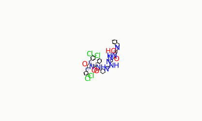 O=C1/C(=C/c2ccc(Cl)c(Cl)c2)CN(C(=O)[C@H](Cc2ccccc2)NC(=O)C2CCCC(N3CC(Nc4cc(C(=O)NC[C@H](O)CN5CCc6ccccc6C5)ncn4)C3)C2)C/C1=C\c1ccc(Cl)c(Cl)c1